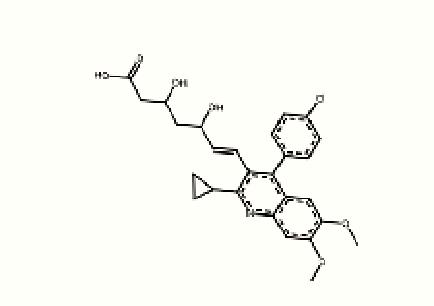 COc1cc2nc(C3CC3)c(/C=C/C(O)CC(O)CC(=O)O)c(-c3ccc(Cl)cc3)c2cc1OC